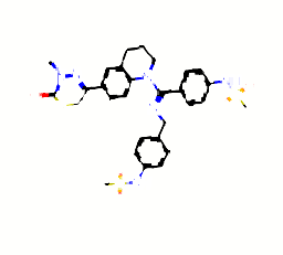 CN1N=C(c2ccc3c(c2)CCCN3C(=NCc2ccc(NS(C)(=O)=O)cc2)c2ccc(NS(C)(=O)=O)cc2)CSC1=O